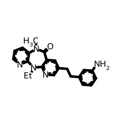 CCN1c2ncc(CCc3cccc(N)c3)cc2C(=O)N(C)c2cccnc21